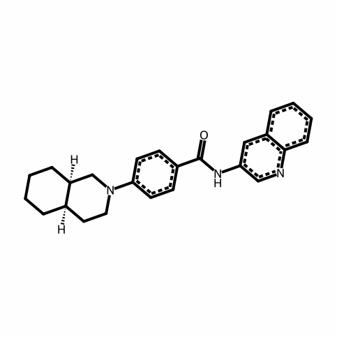 O=C(Nc1cnc2ccccc2c1)c1ccc(N2CC[C@H]3CCCC[C@H]3C2)cc1